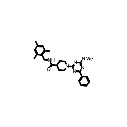 CNc1nc(-c2ccccc2)nc(N2CCC(C(=O)NCc3c(C)cc(C)cc3C)CC2)n1